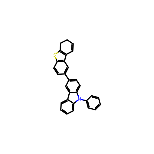 C1=Cc2c(sc3ccc(-c4ccc5c(c4)c4ccccc4n5-c4ccccc4)cc23)CC1